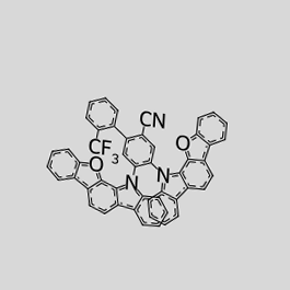 N#Cc1cc(-n2c3ccccc3c3ccc4c5ccccc5oc4c32)c(-n2c3ccccc3c3ccc4c5ccccc5oc4c32)cc1-c1ccccc1C(F)(F)F